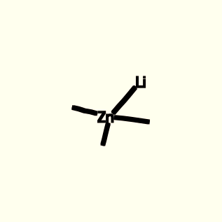 [Li][Zn]([CH3])([CH3])[CH3]